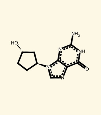 Nc1nc2c(ncn2[C@H]2CC[C@H](O)C2)c(=O)[nH]1